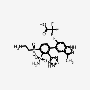 Cc1n[nH]c2cc(F)c(-c3ccc(S(=O)(=O)CCN)c(S(N)(=O)=O)c3-c3nnn[nH]3)cc12.O=C(O)C(F)(F)F